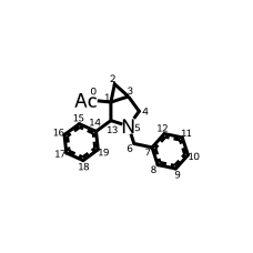 CC(=O)C12CC1CN(Cc1ccccc1)C2c1ccccc1